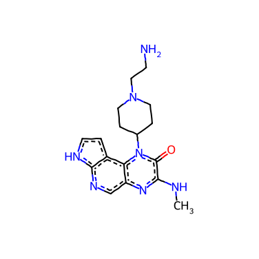 CNc1nc2cnc3[nH]ccc3c2n(C2CCN(CCN)CC2)c1=O